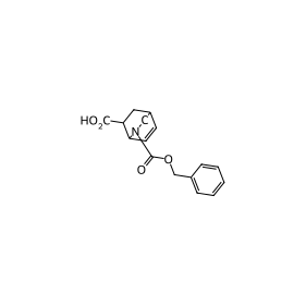 O=C(O)C1CC2C=CC1N(C(=O)OCc1ccccc1)C2